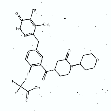 Cc1c(Cc2ccc(F)c(C(=O)N3CCN(C4CCOCC4)C(=O)C3)c2)n[nH]c(=O)c1C(F)(F)F.O=C(O)C(F)(F)F